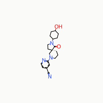 N#Cc1ccnc(N2CCC[C@@]3(CCN(C4CCC(O)CC4)C3=O)C2)c1